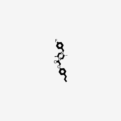 CCCc1ccc(OCC(=O)N2C[C@@H](C)N(Cc3ccc(F)cc3)C[C@@H]2C)cc1